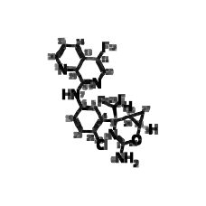 NC1=N[C@@](c2cc(Nc3ncc(F)c4cccnc34)ccc2Cl)(C(F)F)[C@H]2C[C@H]2O1